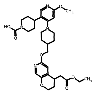 CCOC(=O)CC1CCOc2cnc(OCC3CCN(c4cc(OC)ncc4C4CCN(C(=O)O)CC4)CC3)cc21